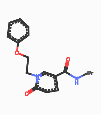 CC(C)NC(=O)c1ccc(=O)n(CCOc2ccccc2)c1